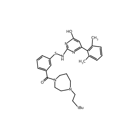 Cc1cccc(C)c1-c1cc(O)nc(NSc2cccc(C(=O)N3CCCN(CCC(C)(C)C)CC3)c2)n1